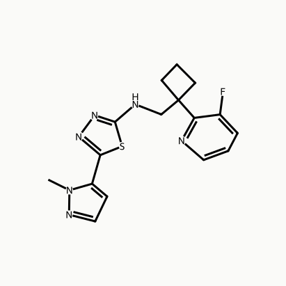 Cn1nccc1-c1nnc(NCC2(c3ncccc3F)CCC2)s1